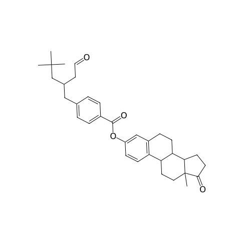 CC(C)(C)CC(CC=O)Cc1ccc(C(=O)Oc2ccc3c(c2)CCC2C3CCC3(C)C(=O)CCC23)cc1